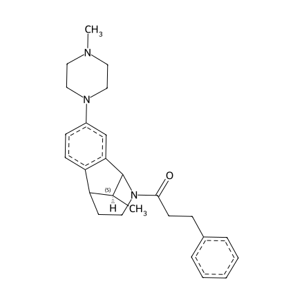 C[C@H]1C2CCN(C(=O)CCc3ccccc3)C1c1cc(N3CCN(C)CC3)ccc12